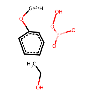 CCO.[GeH+2][O]c1ccccc1.[O-]B([O-])OO